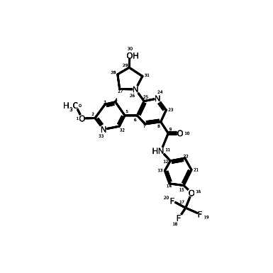 COc1ccc(-c2cc(C(=O)Nc3ccc(OC(F)(F)F)cc3)cnc2N2CCC(O)C2)cn1